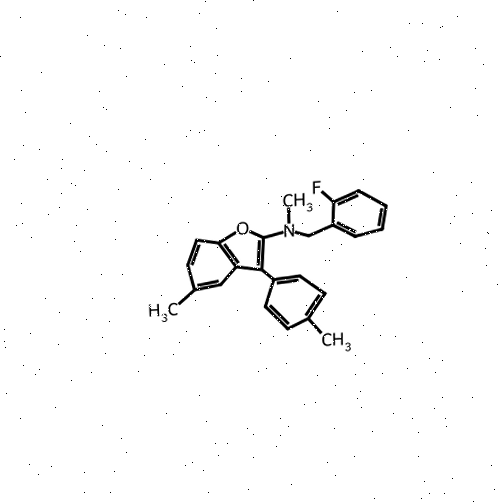 Cc1ccc(-c2c(N(C)Cc3ccccc3F)oc3ccc(C)cc23)cc1